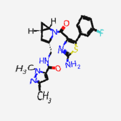 Cc1cc(C(=O)NC[C@@H]2C[C@@H]3C[C@@H]3N2C(=O)c2nc(N)sc2-c2cccc(F)c2)n(C)n1